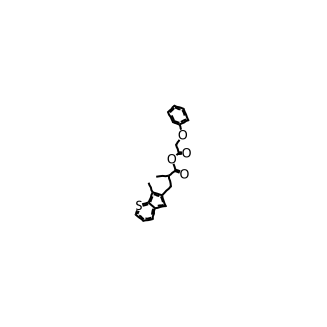 Cc1c(CC(C)C(=O)OC(=O)COc2ccccc2)cc2cccsc1-2